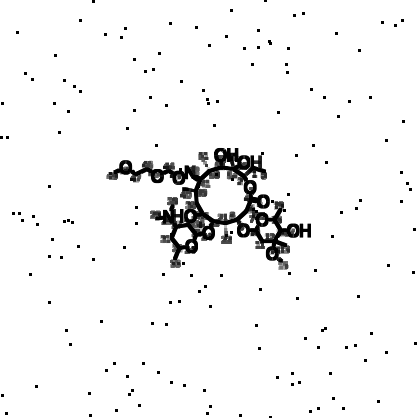 CC[C@H]1OC(=O)[C@H](C)[C@@H](OC2CC(C)(OC)C(O)C(C)O2)[C@H](C)[C@@H](OC2CC(N(C)C)CC(C)O2)[C@@](C)(O)C[C@@H](C)/C(=N\OCOCCOC)[C@H](C)[C@@H](O)[C@]1(C)O